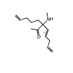 C=CC/C=C/C(CCCC=C)(NC)C(C)=O